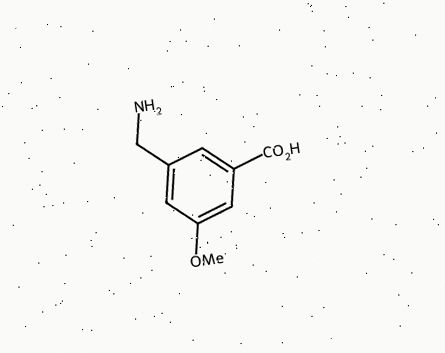 COc1cc(CN)cc(C(=O)O)c1